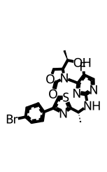 C[C@@H](Nc1ncc(F)c(N2C(=O)OCC2[C@@H](C)O)n1)c1nc(-c2ccc(Br)cc2)cs1